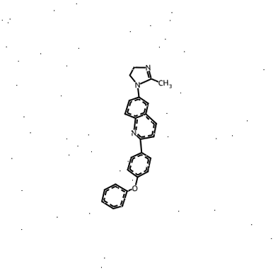 CC1=NCCN1c1ccc2nc(-c3ccc(Oc4ccccc4)cc3)ccc2c1